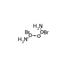 NCCc1cc(Br)cc(C#Cc2cccc(-c3cc(Br)cc(CCN)c3)c2)c1